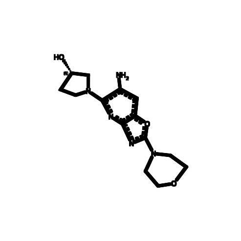 Nc1cc2oc(N3CCOCC3)nc2nc1N1CC[C@H](O)C1